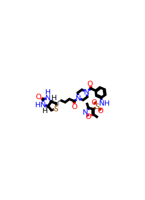 Cc1noc(C)c1S(=O)(=O)Nc1cccc(C(=O)N2CCN(C(=O)CCC[C@@H]3SC[C@@H]4NC(=O)N[C@@H]43)CC2)c1